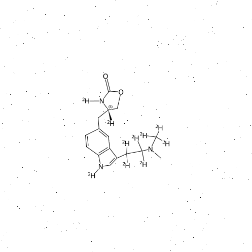 [2H]N1C(=O)OC[C@]1([2H])Cc1ccc2c(c1)c(C([2H])([2H])C([2H])([2H])N(C)C([2H])([2H])[2H])cn2[2H]